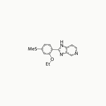 CCOc1cc(SC)ccc1-c1nc2cnccc2[nH]1